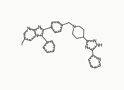 Ic1cnc2nc(-c3ccc(CN4CCC(c5n[nH]c(-c6ccccn6)n5)CC4)cc3)c(-c3ccccc3)n2c1